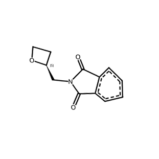 O=C1c2ccccc2C(=O)N1C[C@@H]1CCO1